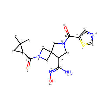 CC1(C)C[C@@H]1C(=O)N1CC2(CN(C(=O)c3cncs3)CC2C(N)=NO)C1